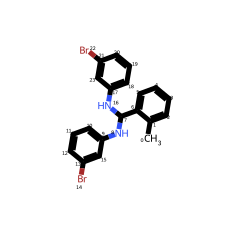 Cc1ccccc1C(Nc1cccc(Br)c1)Nc1cccc(Br)c1